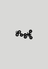 C1=CC2OC3=C(C(c4cccc(-c5ccc(-c6nc(-c7ccccc7)nc(-c7ccccc7)n6)c6ccccc56)c4)CC=C3)C2C=C1